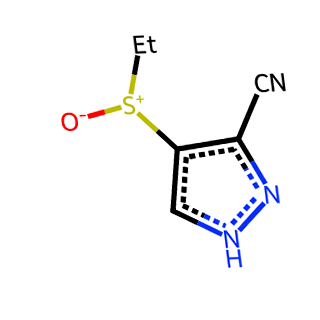 CC[S+]([O-])c1c[nH]nc1C#N